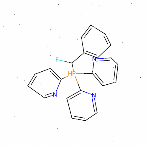 FC(c1ccccc1)[PH](c1ccccn1)(c1ccccn1)c1ccccn1